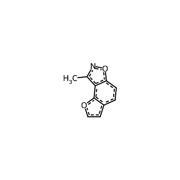 Cc1noc2ccc3ccoc3c12